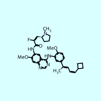 COc1cc2ncnc(Nc3cc(/C(C)=C/C=C\C4CCC4)ccc3OC)c2cc1NC(=O)/C(F)=C\[C@@H]1CCCN1C